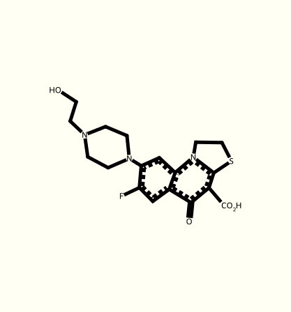 O=C(O)c1c2n(c3cc(N4CCN(CCO)CC4)c(F)cc3c1=O)CCS2